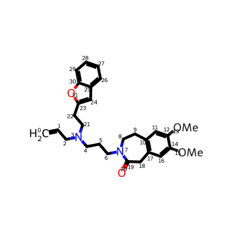 C=CCN(CCCN1CCc2cc(OC)c(OC)cc2CC1=O)CCc1cc2ccccc2o1